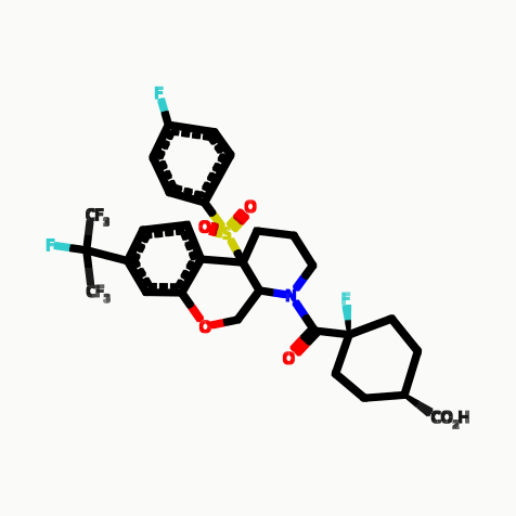 O=C(O)[C@H]1CC[C@](F)(C(=O)N2CCCC3(S(=O)(=O)c4ccc(F)cc4)c4ccc(C(F)(C(F)(F)F)C(F)(F)F)cc4OCC23)CC1